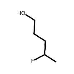 CC(F)CCCO